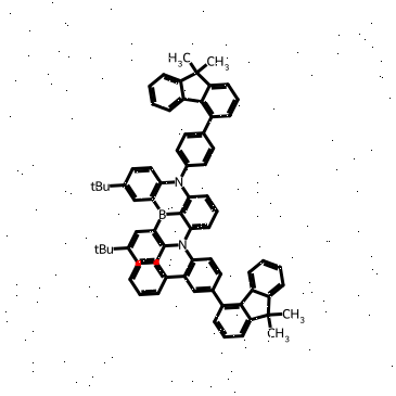 CC(C)(C)c1ccc2c(c1)B1c3cc(C(C)(C)C)ccc3N(c3ccc(-c4cccc5c4-c4ccccc4C5(C)C)cc3-c3ccccc3)c3cccc(c31)N2c1ccc(-c2cccc3c2-c2ccccc2C3(C)C)cc1